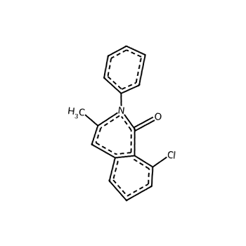 Cc1cc2cccc(Cl)c2c(=O)n1-c1ccccc1